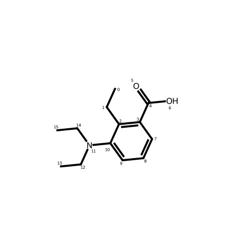 CCc1c(C(=O)O)cccc1N(CC)CC